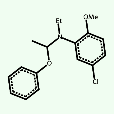 CCN(c1cc(Cl)ccc1OC)C(C)Oc1ccccc1